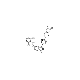 C[C@@H](Oc1ccc2[nH]nc(-c3cnc(N4CCC5(CC4)CNC(=O)C5)nc3)c2c1)c1c(Cl)cncc1Cl